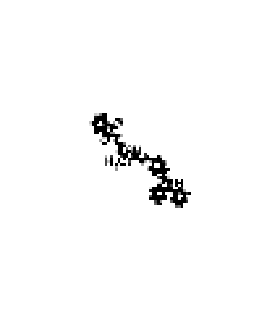 C[N+](C)(CCCCN1CCC(OC(=O)NC(c2ccccc2)c2ccccc2)CC1)CCCCN1C(=O)c2ccccc2C1=O